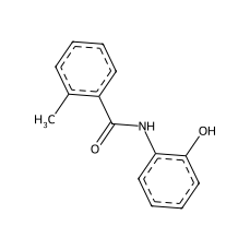 Cc1ccccc1C(=O)Nc1ccccc1O